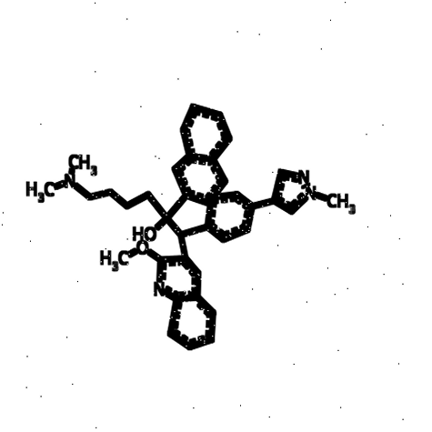 COc1nc2ccccc2cc1C(c1ccc(-c2cnn(C)c2)cc1)C(O)(CCCCN(C)C)c1ccc2ccccc2c1